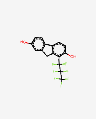 Oc1ccc2c(c1)Cc1c-2ccc(O)c1C(F)(F)C(F)(F)C(F)(F)F